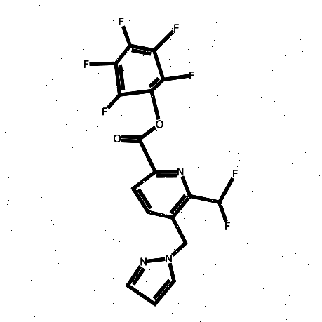 O=C(Oc1c(F)c(F)c(F)c(F)c1F)c1ccc(Cn2cccn2)c(C(F)F)n1